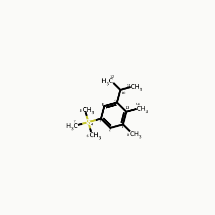 Cc1cc(S(C)(C)C)cc(C(C)C)c1C